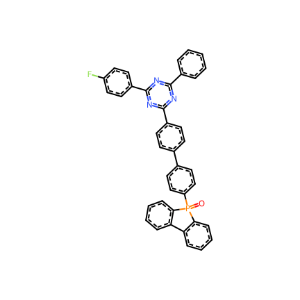 O=P1(c2ccc(-c3ccc(-c4nc(-c5ccccc5)nc(-c5ccc(F)cc5)n4)cc3)cc2)c2ccccc2-c2ccccc21